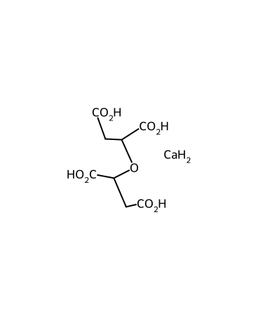 O=C(O)CC(OC(CC(=O)O)C(=O)O)C(=O)O.[CaH2]